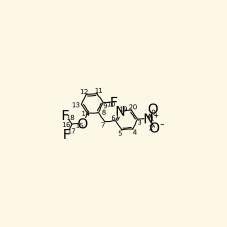 O=[N+]([O-])c1ccc(Cc2c(F)cccc2OC(F)F)nc1